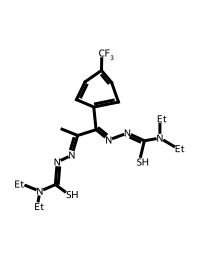 CCN(CC)/C(S)=N/N=C(C)/C(=N/N=C(\S)N(CC)CC)c1ccc(C(F)(F)F)cc1